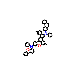 Cc1ccc2c(N(c3ccccc3)c3ccc4c(ccc5ccccc54)c3)cc3c4cc(C)cc5c4c(cc3c2c1)-c1ccc(N(c2ccccc2)c2cccc3c2oc2ccccc23)cc1O5